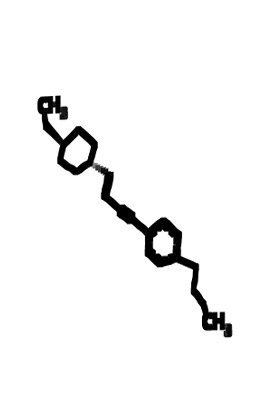 CCCCc1ccc(C#C/C=C/[C@H]2CC[C@H](CC)CC2)cc1